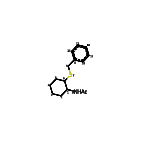 CC(=O)NC1CCCCC1SCc1ccccc1